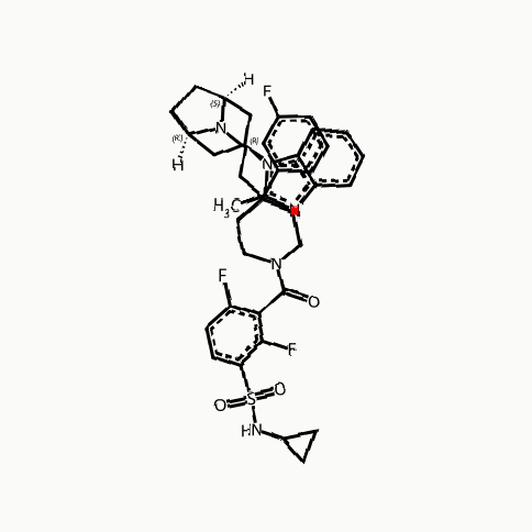 Cc1nc2ccccc2n1[C@H]1C[C@H]2CC[C@@H](C1)N2CCC1(c2cccc(F)c2)CCN(C(=O)c2c(F)ccc(S(=O)(=O)NC3CC3)c2F)CC1